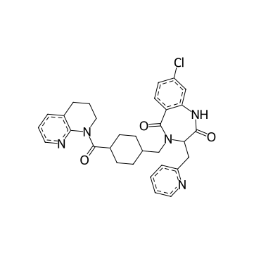 O=C1Nc2cc(Cl)ccc2C(=O)N(CC2CCC(C(=O)N3CCCc4cccnc43)CC2)C1Cc1ccccn1